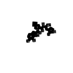 N#CC(CC1CCNC1=O)NC(=O)C1CC2(CCC2)CN1C(=O)c1cc2ccc(Cl)c(Cl)c2[nH]1